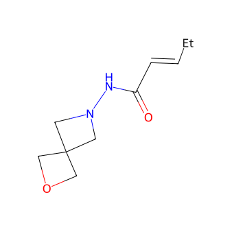 CCC=CC(=O)NN1CC2(COC2)C1